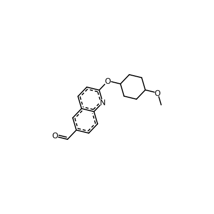 COC1CCC(Oc2ccc3cc(C=O)ccc3n2)CC1